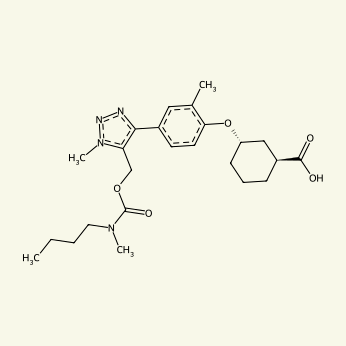 CCCCN(C)C(=O)OCc1c(-c2ccc(O[C@H]3CCC[C@H](C(=O)O)C3)c(C)c2)nnn1C